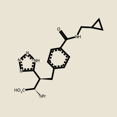 CCC[C@H](C(=O)O)[C@H](Cc1ccc(C(=O)NCC2CC2)cc1)c1nnn[nH]1